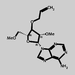 C=CCOC1[C@@H](COC)O[C@@H](n2cnc3c(N)ncnc32)[C@H]1OC